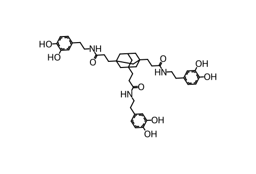 O=C(CCC12CC3CC(CCC(=O)NCCc4ccc(O)c(O)c4)(C1)CC(CCC(=O)NCCc1ccc(O)c(O)c1)(C3)C2)NCCc1ccc(O)c(O)c1